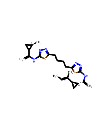 C=C(Nc1nnc(CCCCc2nnc(NC(=C)[C@@H]3CC3/C(C)=C/C)s2)s1)C1C[C@H]1C